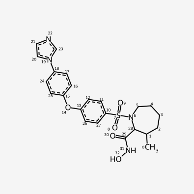 CC1CCCCN(S(=O)(=O)c2ccc(Oc3ccc(-n4ccnc4)cc3)cc2)C1C(=O)NO